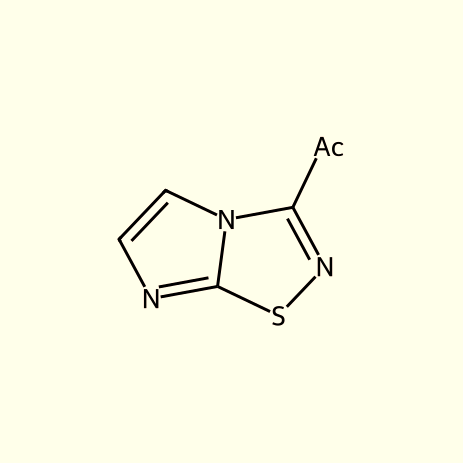 CC(=O)c1nsc2nccn12